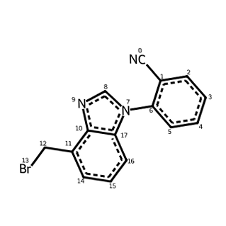 N#Cc1ccccc1-n1cnc2c(CBr)cccc21